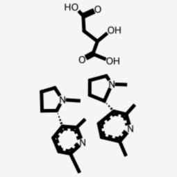 Cc1ccc([C@@H]2CCCN2C)c(C)n1.Cc1ccc([C@@H]2CCCN2C)c(C)n1.O=C(O)CC(O)C(=O)O